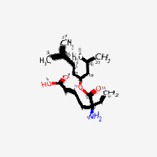 C=CC(N)(CCCC(=O)O)C(=O)OC(CCC(C)C)CC(C)C